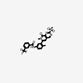 Cc1ccc(NC(=O)c2cccc(C(F)(F)F)c2)cc1-c1cc2cnc(S(C)(=O)=O)nc2c(=O)n1C